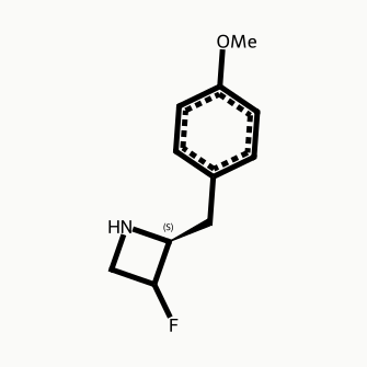 COc1ccc(C[C@@H]2NCC2F)cc1